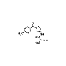 CCCCN(CCCC)C(=O)N[C@@H]1CCN(C(=O)c2ccc(C)nc2)C1